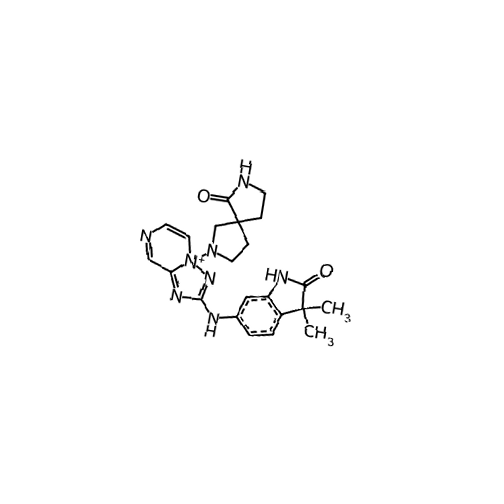 CC1(C)C(=O)Nc2cc(NC3=N[N+]4(N5CCC6(CCNC6=O)C5)C=CN=CC4=N3)ccc21